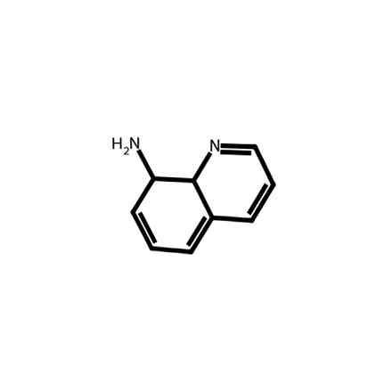 NC1C=CC=C2C=CC=NC21